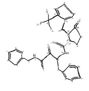 O=C(NCc1ccccc1)C(=O)C(Cc1ccccc1)NC(=O)[C@H]1CCC(=O)N1Cc1ccccc1C(F)(F)F